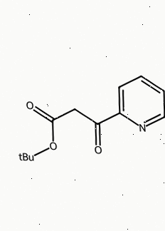 CC(C)(C)OC(=O)CC(=O)c1ccccn1